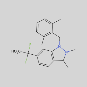 Cc1cccc(C)c1CN1c2cc(C(F)(F)C(=O)O)ccc2C(C)N1C